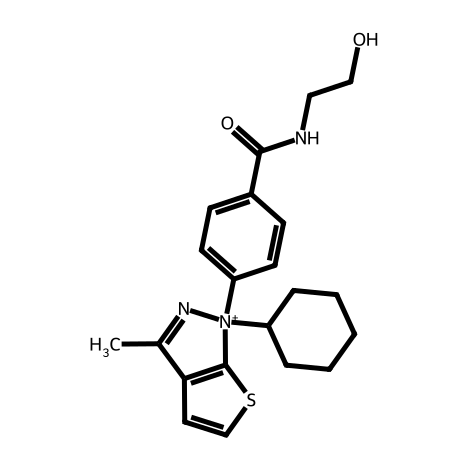 CC1=N[N+](c2ccc(C(=O)NCCO)cc2)(C2CCCCC2)c2sccc21